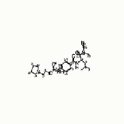 CC(C)CC(NC(=O)c1ccc(NC(=O)OCCN2CCCC2)cc1)C(=O)N(C)C#N